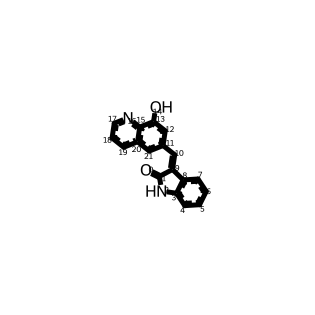 O=C1Nc2ccccc2C1=Cc1cc(O)c2ncccc2c1